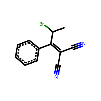 CC(Br)C(=C(C#N)C#N)c1ccccc1